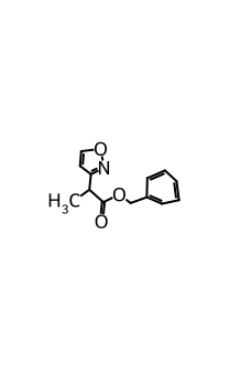 CC(C(=O)OCc1ccccc1)c1ccon1